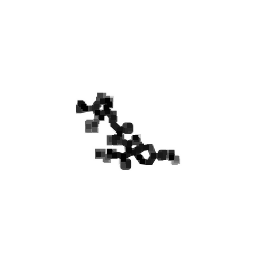 CCn1c(SCC(=O)Nc2sc3c(c2C(N)=O)CCC(C)C3)nnc1C1CC1